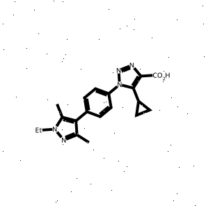 CCn1nc(C)c(-c2ccc(-n3nnc(C(=O)O)c3C3CC3)cc2)c1C